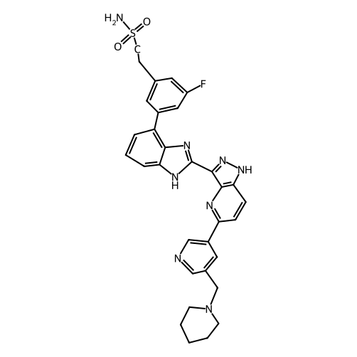 NS(=O)(=O)CCc1cc(F)cc(-c2cccc3[nH]c(-c4n[nH]c5ccc(-c6cncc(CN7CCCCC7)c6)nc45)nc23)c1